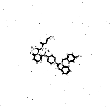 CCCC(=O)OC(C)n1c(N(C)C2CCN(c3nc4ccccc4n3Cc3ccc(F)cc3)CC2)nccc1=O